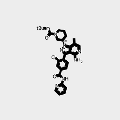 Cc1cnc(N)c2c(-c3ccc(C(=O)Nc4ccccn4)cc3Cl)nn([C@@H]3CCCN(C(=O)OC(C)(C)C)C3)c12